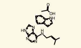 CC(=O)O.CC(C)=CCNc1ncnc2[nH]cnc12.c1ccc2[nH]ccc2c1